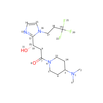 CN(C)C1CCN(C(=O)C[C@H](O)c2nccn2CCC(F)(F)F)CC1